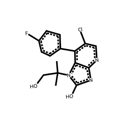 CC(C)(CO)n1c(O)nc2ncc(Cl)c(-c3ccc(F)cc3)c21